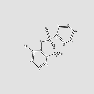 COc1cccc(F)c1CS(=O)(=O)c1ccccc1